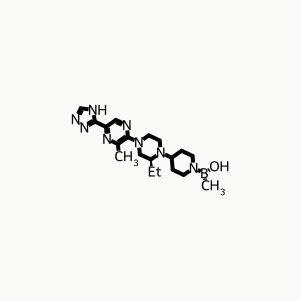 CC[C@H]1CN(c2ncc(-c3nnc[nH]3)nc2C)CCN1C1CCN(B(C)O)CC1